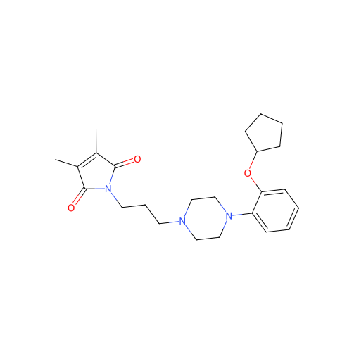 CC1=C(C)C(=O)N(CCCN2CCN(c3ccccc3OC3CCCC3)CC2)C1=O